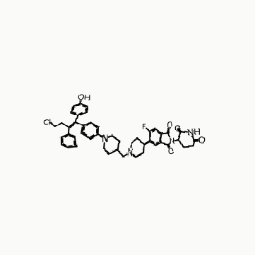 O=C1CCC(N2C(=O)c3cc(F)c(C4CCN(CC5CCN(c6ccc(C(=C(CCCl)c7ccccc7)c7ccc(O)cc7)cc6)CC5)CC4)cc3C2=O)C(=O)N1